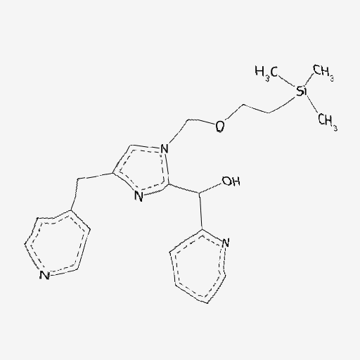 C[Si](C)(C)CCOCn1cc(Cc2ccncc2)nc1C(O)c1ccccn1